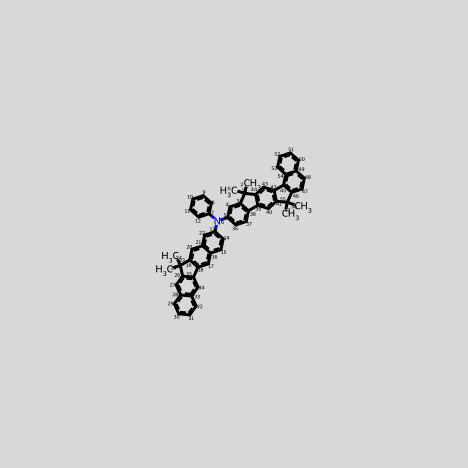 CC1(C)c2cc(N(c3ccccc3)c3ccc4cc5c(cc4c3)C(C)(C)c3cc4ccccc4cc3-5)ccc2-c2cc3c(cc21)-c1c(ccc2ccccc12)C3(C)C